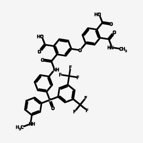 CNC(=O)c1cc(Oc2ccc(C(=O)O)c(C(=O)Nc3cccc(P(=O)(c4cccc(NC)c4)c4cc(C(F)(F)F)cc(C(F)(F)F)c4)c3)c2)ccc1C(=O)O